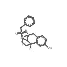 CN1CC[C@@]2(C)c3cc(O)ccc3C[C@@H]1[C@@H]2NS(=O)(=O)Cc1ccccc1